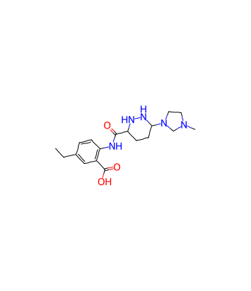 CCc1ccc(NC(=O)C2CCC(N3CCN(C)C3)NN2)c(C(=O)O)c1